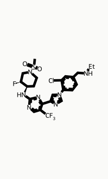 CCNCc1ccc(-n2cnc(-c3nc(N[C@@H]4CCN(S(C)(=O)=O)C[C@H]4F)ncc3C(F)(F)F)c2)c(Cl)c1